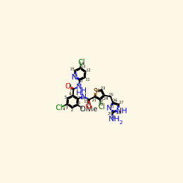 COc1cc(Cl)cc(C(=O)Nc2ccc(Cl)cn2)c1NC(=O)c1scc(Cc2c[nH]c(N)n2)c1Cl